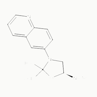 CC(=O)N[C@@H]1CN(c2ccc3ncccc3c2)C(C)(C=O)O1